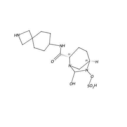 O=C(NC1CCC2(CC1)CNC2)[C@@H]1CC[C@@H]2CN1C(O)N2OS(=O)(=O)O